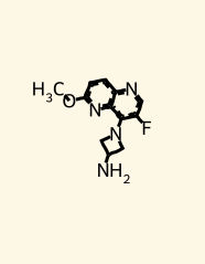 COc1ccc2ncc(F)c(N3CC(N)C3)c2n1